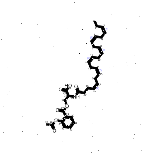 CC/C=C\C/C=C\C/C=C\C/C=C\C/C=C\C/C=C\CCC(=O)NC(COC(=O)c1ccccc1OC(C)=O)C(=O)O